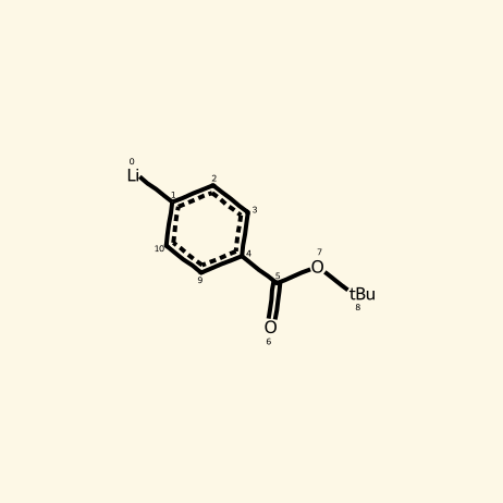 [Li][c]1ccc(C(=O)OC(C)(C)C)cc1